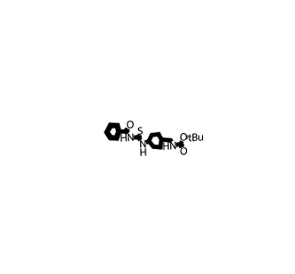 CC(C)(C)OC(=O)NCC1CCC(NC(=S)NC(=O)c2ccccc2)CC1